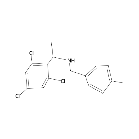 Cc1ccc(CNC(C)c2c(Cl)cc(Cl)cc2Cl)cc1